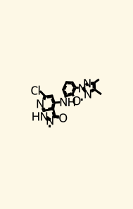 COc1c(Nc2cc(Cl)nc3[nH]n(C)c(=O)c23)cccc1-n1nc(C)c(C)n1